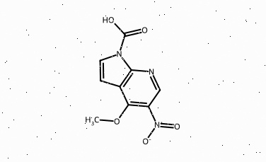 COc1c([N+](=O)[O-])cnc2c1ccn2C(=O)O